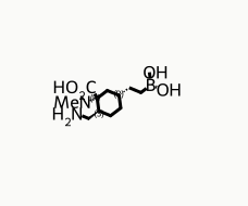 CN[C@]1(C(=O)O)C[C@H](CCB(O)O)CC[C@H]1CN